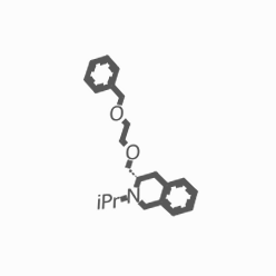 CC(C)N1Cc2ccccc2C[C@H]1COCCOCc1ccccc1